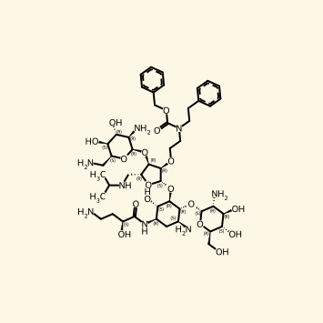 CC(C)NC[C@H]1O[C@@H](O[C@@H]2[C@@H](O)[C@H](NC(=O)[C@@H](O)CCN)C[C@H](N)[C@H]2O[C@H]2O[C@H](CO)[C@@H](O)[C@H](O)[C@H]2N)[C@H](OCCN(CCc2ccccc2)C(=O)OCc2ccccc2)[C@@H]1O[C@H]1O[C@@H](CN)[C@@H](O)[C@H](O)[C@H]1N